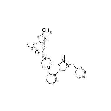 Cc1cc(C)n(CC(=O)N2CCN(c3ccccc3C3=CNN(Cc4ccccc4)C3)CC2)n1